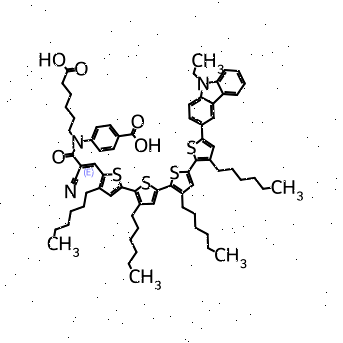 CCCCCCc1cc(-c2sc(-c3sc(-c4sc(-c5ccc6c(c5)c5ccccc5n6CC)cc4CCCCCC)cc3CCCCCC)cc2CCCCCC)sc1/C=C(\C#N)C(=O)N(CCCCCC(=O)O)c1ccc(C(=O)O)cc1